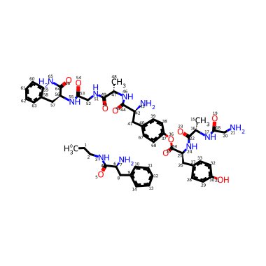 CCCNC(=O)[C@@H](N)Cc1ccccc1.C[C@H](NC(=O)CN)C(=O)N[C@@H](Cc1ccc(O)cc1)C(=O)Oc1ccc(C[C@H](N)C(=O)N[C@@H](C)C(=O)NCC(=O)N[C@@H](Cc2ccccc2)C(N)=O)cc1